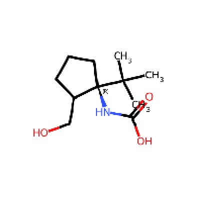 CC(C)(C)[C@@]1(NC(=O)O)CCCC1CO